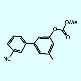 COC(=O)Oc1cc(C)cc(-c2cccc(C#N)c2)c1